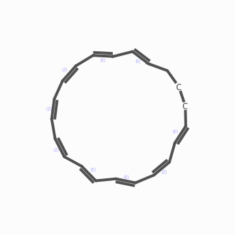 [C]1=C/C=C/C=C\C=C/C=C\C=C\C=C\C=C/C=C/CCC/1